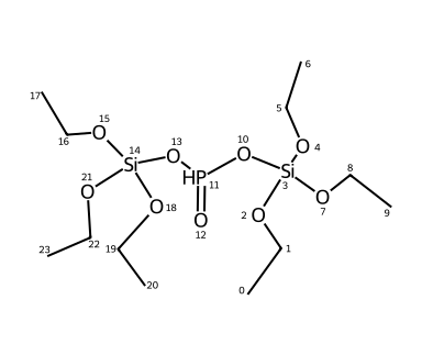 CCO[Si](OCC)(OCC)O[PH](=O)O[Si](OCC)(OCC)OCC